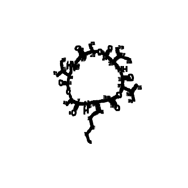 CCCCCC1NC(=O)C(C)OC(=O)C(C(C)C)NC(=O)C(C)OC(=O)C(C(C)C)NC(=O)C(C(C)C)OC1=O